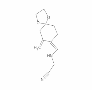 C=C1CC2(CC/C1=C/NCC#N)OCCO2